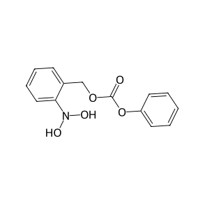 O=C(OCc1ccccc1N(O)O)Oc1ccccc1